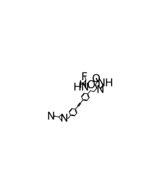 C[C@@H](CF)NC[C@H](Cc1nc[nH]c(=O)c1O)c1ccc(C#Cc2ccc(CN3CC(C#N)C3)cc2)cc1